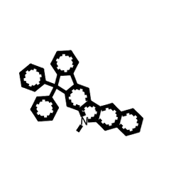 Cn1c2cc3c(cc2c2cc4ccccc4cc21)-c1ccccc1C3(c1ccccc1)c1ccccc1